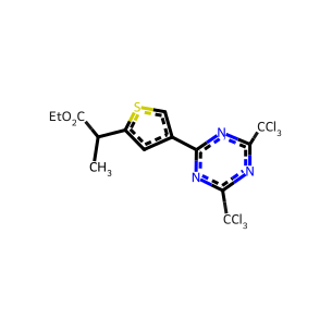 CCOC(=O)C(C)c1cc(-c2nc(C(Cl)(Cl)Cl)nc(C(Cl)(Cl)Cl)n2)cs1